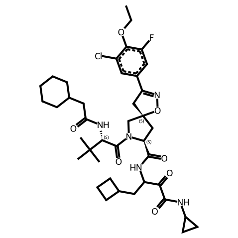 CCOc1c(F)cc(C2=NO[C@]3(C2)C[C@@H](C(=O)NC(CC2CCC2)C(=O)C(=O)NC2CC2)N(C(=O)[C@@H](NC(=O)CC2CCCCC2)C(C)(C)C)C3)cc1Cl